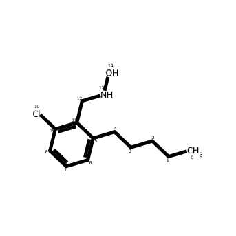 CCCCCc1cccc(Cl)c1CNO